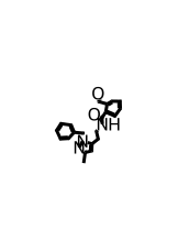 Cc1cc(CCNC(=O)c2ccccc2C=O)n(Cc2ccccc2)n1